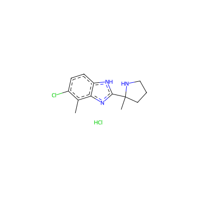 Cc1c(Cl)ccc2[nH]c(C3(C)CCCN3)nc12.Cl